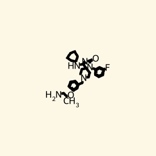 C[C@H](CN)Oc1cccc(CN2CCC3(CC2)C(NC2CCCCC2)=NC(=O)N3c2cccc(F)c2)c1